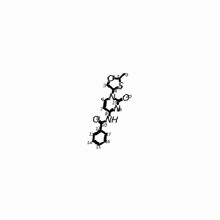 CC1OCC(n2ccc(NC(=O)c3ccccc3)nc2=O)S1